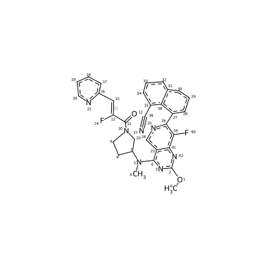 COc1nc(N(C)C2CCN(C(=O)/C(F)=C/c3ccccn3)C2)c2cnc(-c3cccc4cccc(C#N)c34)c(F)c2n1